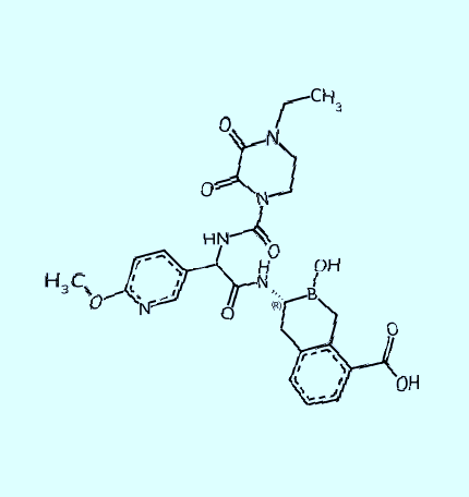 CCN1CCN(C(=O)NC(C(=O)N[C@H]2Cc3cccc(C(=O)O)c3CB2O)c2ccc(OC)nc2)C(=O)C1=O